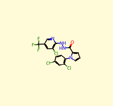 O=C(NNc1ncc(C(F)(F)F)cc1Cl)c1cccn1-c1ccc(Cl)cc1Cl